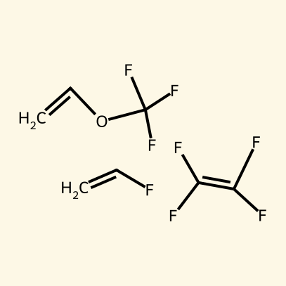 C=CF.C=COC(F)(F)F.FC(F)=C(F)F